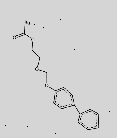 CCC(C)C(=O)OCCOCOc1ccc(-c2ccccc2)cc1